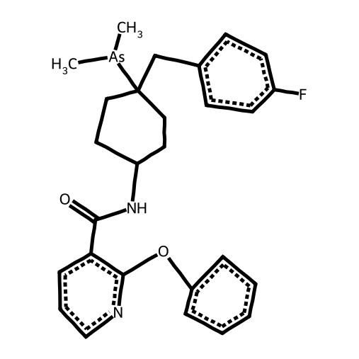 C[As](C)C1(Cc2ccc(F)cc2)CCC(NC(=O)c2cccnc2Oc2ccccc2)CC1